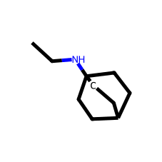 CCNC12CCC(CC1)CC2